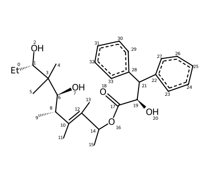 CC[C@H](O)C(C)(C)[C@@H](O)[C@@H](C)/C(C)=C(\C)C(C)OC(=O)[C@H](O)C(c1ccccc1)c1ccccc1